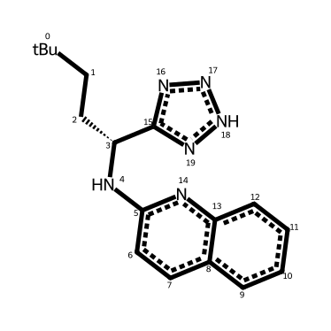 CC(C)(C)CC[C@@H](Nc1ccc2ccccc2n1)c1nn[nH]n1